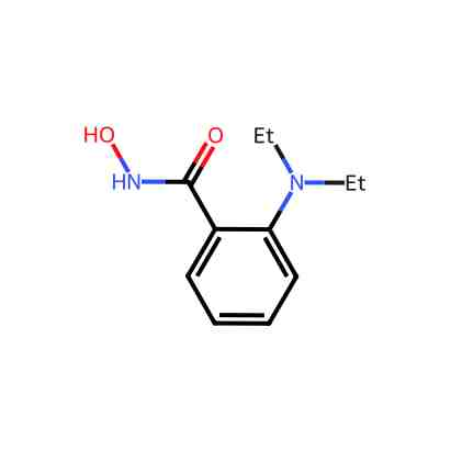 CCN(CC)c1ccccc1C(=O)NO